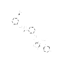 CCCn1c(CNc2cccc(C(=O)NCc3cc(C#N)ccc3C)c2)nnc1-c1ccncn1